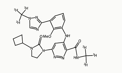 [2H]C([2H])([2H])NC(=O)c1nnc(N2CCN(C3CCC3)C2=O)cc1Nc1cccc(-c2ncn(C([2H])([2H])[2H])n2)c1OC